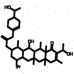 C=C(CC1=CCC(C(C)O)CC1)CC1CC(C(C)C)C2CC3(C)CC4(C)CC(C)=C(C(C)O)C(=O)C4(C)C(C)C3C(O)C2C1C